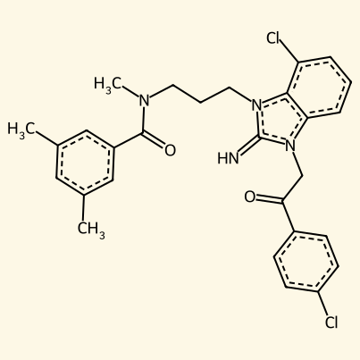 Cc1cc(C)cc(C(=O)N(C)CCCn2c(=N)n(CC(=O)c3ccc(Cl)cc3)c3cccc(Cl)c32)c1